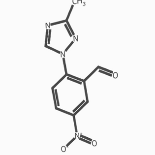 Cc1ncn(-c2ccc([N+](=O)[O-])cc2C=O)n1